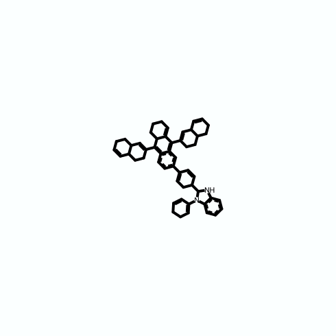 C1=CC(N2c3ccccc3NC2C2C=CC(c3ccc4c(c3)=C(C3=CC5C=CCCC5CC3)C3=CCCCC3C=4C3=CC4CCC=CC4CC3)=CC2)=CCC1